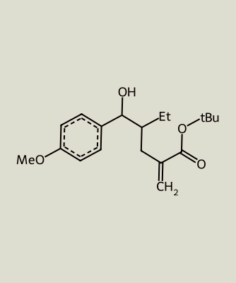 C=C(CC(CC)C(O)c1ccc(OC)cc1)C(=O)OC(C)(C)C